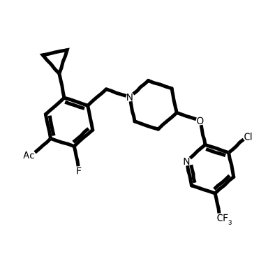 CC(=O)c1cc(C2CC2)c(CN2CCC(Oc3ncc(C(F)(F)F)cc3Cl)CC2)cc1F